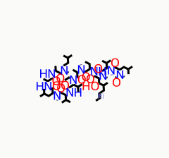 C/C=C/CC(C)C(O)C(C(=O)NC(CC)C(=O)N(C)C(C)C(=O)N(CC)C(C(=O)NC(C(=O)N(C)C(CC(C)C)C(=O)NC(C)C(=O)NC(C)C(=O)N(C)CCC(C)C)C(C)C)C(C)C)N(C)C(=O)C(C(C)C)N(C)C(=O)C(CC(C)C)N(C)C=O